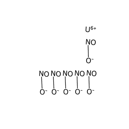 O=N[O-].O=N[O-].O=N[O-].O=N[O-].O=N[O-].O=N[O-].[U+6]